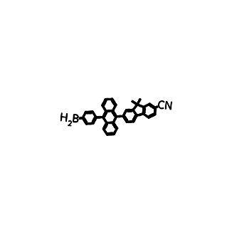 Bc1ccc(-c2c3ccccc3c(-c3ccc4c(c3)C(C)(C)c3cc(C#N)ccc3-4)c3ccccc23)cc1